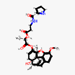 COc1ccc2c3c1O[C@@H]1C(OC(=O)[C@H](C)OC(=O)CCNC(=O)[C@@H]4CCCN4)=CC[C@]4(O)[C@@H](CCC[C@@]314)C2